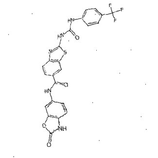 O=C(Nc1ccc(C(F)(F)F)cc1)Nc1nc2ccc(C(=O)Nc3ccc4[nH]c(=O)oc4c3)cc2s1